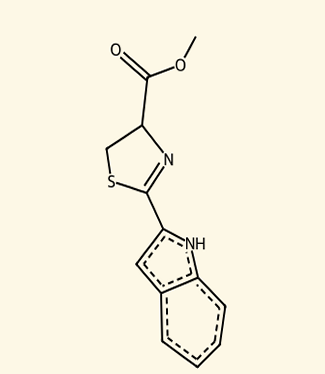 COC(=O)C1CSC(c2cc3ccccc3[nH]2)=N1